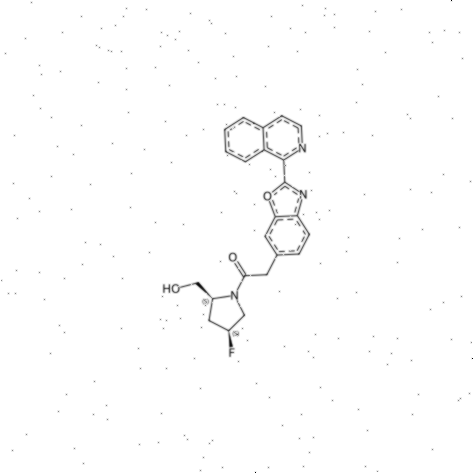 O=C(Cc1ccc2nc(-c3nccc4ccccc34)oc2c1)N1C[C@@H](F)C[C@H]1CO